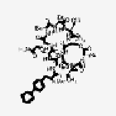 C=C[C@H]1C[C@]12NC(=O)[C@H](C)NC(=O)[C@H](NC(=O)[C@H](CO)NC(=O)[C@@H](NC(=O)[C@H](NC(=O)[C@@H](CCC(N)=O)NC(=O)[C@H](CO)NC(=O)[C@@H](NC(=O)[C@@H](Cc1ccc(-c3ccccc3)cc1)NC)[C@@H](C)CC)[C@@H](C)CC)[C@@H](C)CC)[C@H](C)OC(=O)[C@H]([C@@H](C)CC)NC2=O